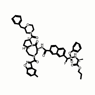 CCCOC(=O)[C@H](C)NP(=O)(Oc1ccccc1)C(F)c1ccc2ccc(C(=O)N[C@H]3CN(C(=O)c4noc5ccc(C)cc45)CC[C@H]4CC[C@@H](C(=O)N5CCOC(Cc6ccccc6)C5)N4C3=O)cc2c1